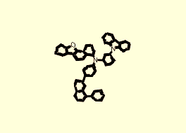 c1ccc(-c2cccc3ccc(-c4ccc(N(c5cccc(-n6c7ccccc7c7ccccc76)c5)c5cccc6c5ccc5c7ccccc7oc65)cc4)cc23)cc1